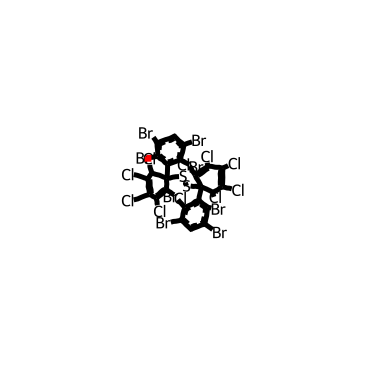 ClC1=C(Cl)C(Cl)C(SSC2(c3c(Br)c(Br)cc(Br)c3Br)C(Cl)=C(Cl)C(Cl)=C(Cl)C2Cl)(c2c(Br)c(Br)cc(Br)c2Br)C(Cl)=C1Cl